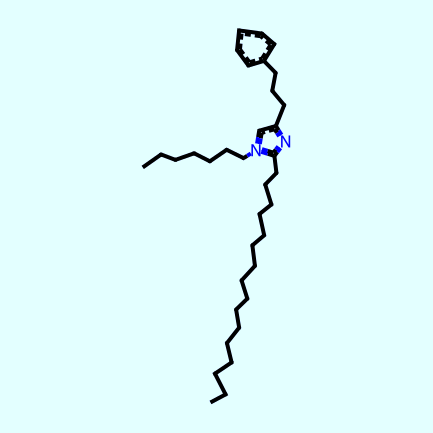 CCCCCCCCCCCCCCCCc1nc(CCCc2ccccc2)cn1CCCCCCC